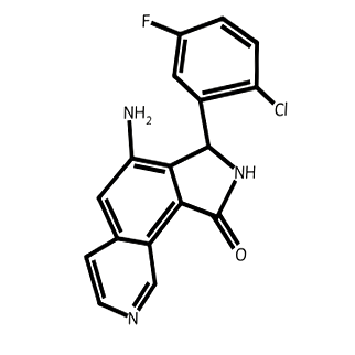 Nc1cc2ccncc2c2c1C(c1cc(F)ccc1Cl)NC2=O